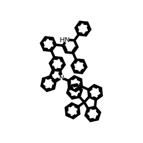 C1=C(c2ccccc2)C=C(c2ccccc2-c2ccc3c(c2)c2ccccc2n3-c2ccc(-c3cccc4c3C(c3ccccc3)(c3ccccc3)c3ccccc3-4)cc2)NC1c1ccccc1